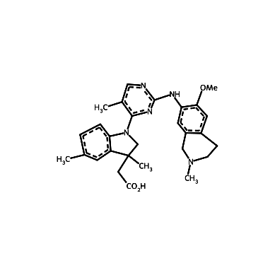 COc1cc2c(cc1Nc1ncc(C)c(N3CC(C)(CC(=O)O)c4cc(C)ccc43)n1)CN(C)CC2